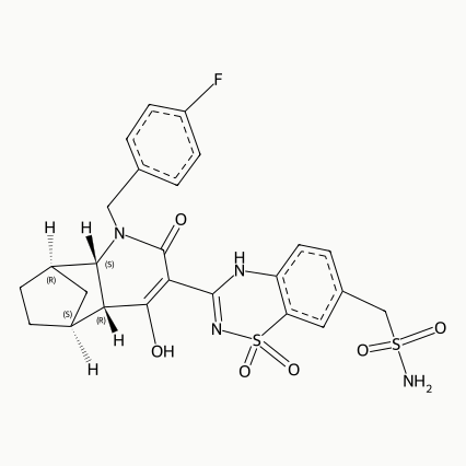 NS(=O)(=O)Cc1ccc2c(c1)S(=O)(=O)N=C(C1=C(O)[C@@H]3[C@H]4CC[C@H](C4)[C@@H]3N(Cc3ccc(F)cc3)C1=O)N2